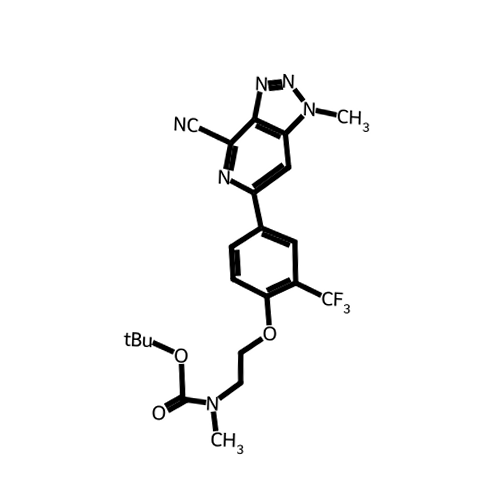 CN(CCOc1ccc(-c2cc3c(nnn3C)c(C#N)n2)cc1C(F)(F)F)C(=O)OC(C)(C)C